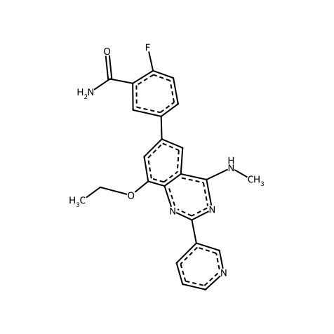 CCOc1cc(-c2ccc(F)c(C(N)=O)c2)cc2c(NC)nc(-c3cccnc3)nc12